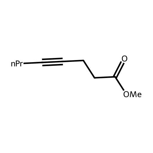 CCCC#CCCC(=O)OC